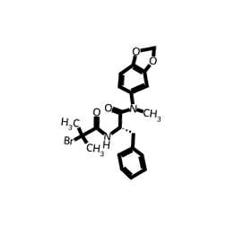 CN(C(=O)[C@H](Cc1ccccc1)NC(=O)C(C)(C)Br)c1ccc2c(c1)OCO2